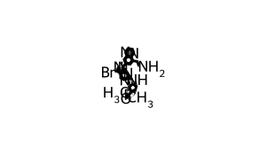 CP(C)(=O)[C@@H]1CC[C@@H](Nc2ncc3c(Br)nn(-c4cc(CCN)c5nccnc5c4)c3n2)C1